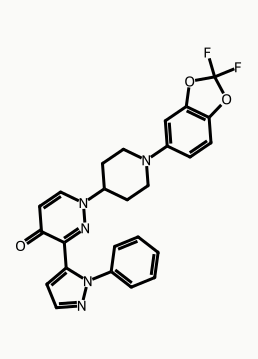 O=c1ccn(C2CCN(c3ccc4c(c3)OC(F)(F)O4)CC2)nc1-c1ccnn1-c1ccccc1